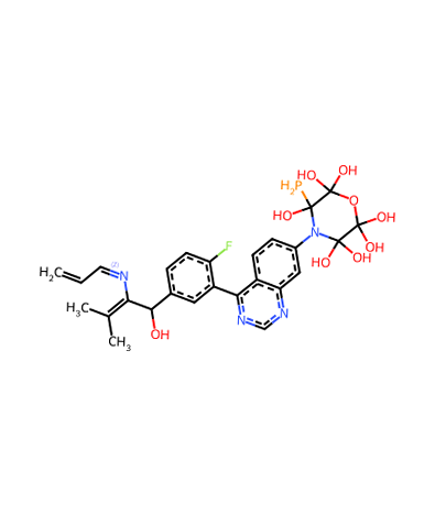 C=C/C=N\C(=C(C)C)C(O)c1ccc(F)c(-c2ncnc3cc(N4C(O)(O)C(O)(O)OC(O)(O)C4(O)P)ccc23)c1